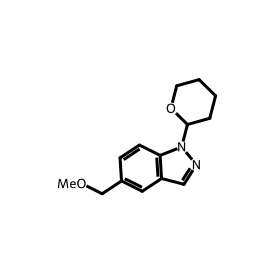 COCc1ccc2c(cnn2C2CCCCO2)c1